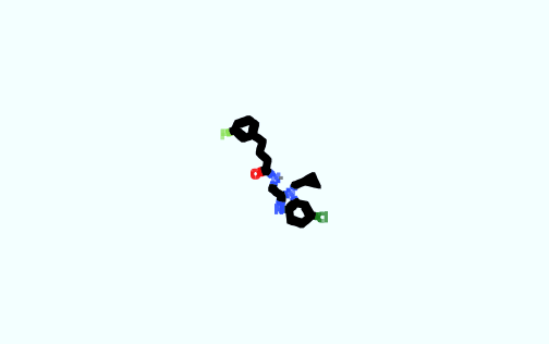 O=C(CCCc1cccc(F)c1)[N]Cc1nc2ccc(Cl)cc2n1CC1CC1